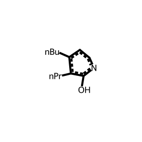 CCCCc1ccnc(O)c1CCC